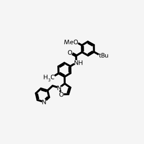 COc1ccc(C(C)(C)C)cc1C(=O)Nc1ccc(C)c(C2C=CON2Cc2cccnc2)c1